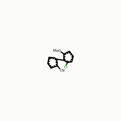 COc1cccc(Cl)c1-c1ccccc1C#N